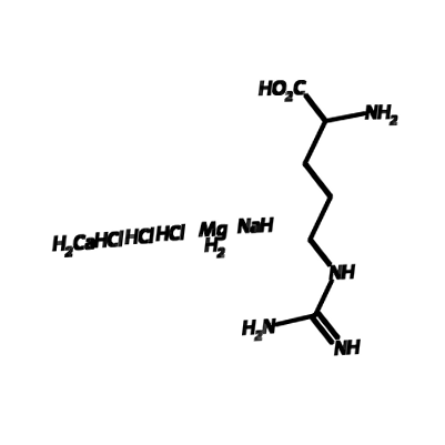 Cl.Cl.Cl.N=C(N)NCCCC(N)C(=O)O.[CaH2].[MgH2].[NaH]